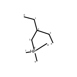 CCC(CC)C[PH](C)(C)C